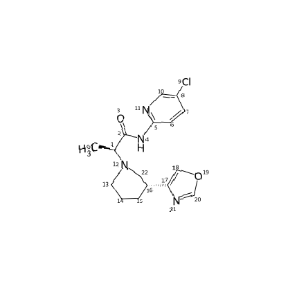 C[C@@H](C(=O)Nc1ccc(Cl)cn1)N1CCC[C@@H](c2cocn2)C1